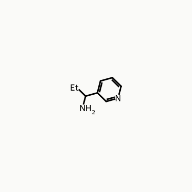 CCC(N)c1cccnc1